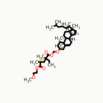 CCC(C)(CC(C)(S)C(=O)OCCOC)C(=O)OCOC1CC[C@@]2(C)C(=CC[C@H]3[C@]4(C)CC[C@](C)([C@H](C)CCCC(C)C)[C@H]4CC[C@@]32C)C1